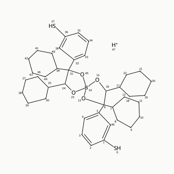 Sc1cccc(C2(C3CCCCC3)O[B-]3(OC2C2CCCCC2)OC(C2CCCCC2)C(c2cccc(S)c2)(C2CCCCC2)O3)c1.[H+]